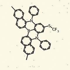 Cc1ccc2c3c(ccc2c1)B1c2ccc4cc(C)ccc4c2N(c2ccccc2)c2cc(SC(F)(F)F)cc(c21)N3c1ccccc1